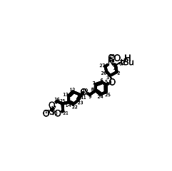 CC(C)(C)[C@H]1C[C@@H](Oc2ccc(COc3ccc(C4COS(=O)OC4)cc3)cc2)CCN1C(=O)O